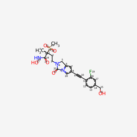 C[C@@](CCN1Cc2cc(C#Cc3ccc(CO)cc3F)cn2C1=O)(C(=O)NO)S(C)(=O)=O